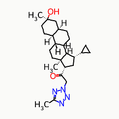 Cc1nnn(CC(=O)[C@H]2C[C@@H](C3CC3)[C@H]3[C@@H]4CC[C@@H]5C[C@](C)(O)CC[C@@H]5[C@H]4CC[C@@]32C)n1